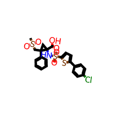 CS(=O)(=O)CC1(c2ccccc2)CC1(NS(=O)(=O)c1ccc(-c2ccc(Cl)cc2)s1)C(=O)O